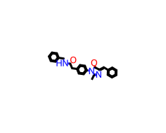 CC1=N/C(=C\c2ccccc2)C(=O)N1c1ccc(CC(=O)NCc2ccccc2)cc1